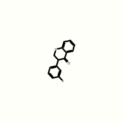 O=C1c2ccccc2OCC1c1cccc(F)c1